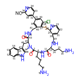 CN1C(=O)C(CCCCN)NC(=O)C(CCCN)NCc2cccnc2Sc2c(Cl)cc(-c3ccnc(C#N)c3)cc2CNC(=O)C1Cc1c[nH]c2ccccc12